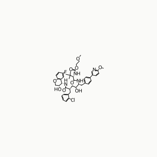 COCCOC(=O)N[C@H](C(=O)N[C@@H](Cc1ccc(-c2ccc(OC)nc2)cc1)[C@@H](O)C[C@@H](Cc1ccccc1Cl)C(=O)N[C@H]1c2cc(F)ccc2OC[C@H]1O)C(C)(C)C